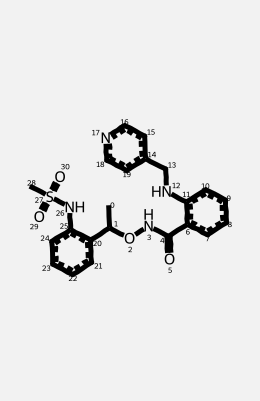 CC(ONC(=O)c1ccccc1NCc1ccncc1)c1ccccc1NS(C)(=O)=O